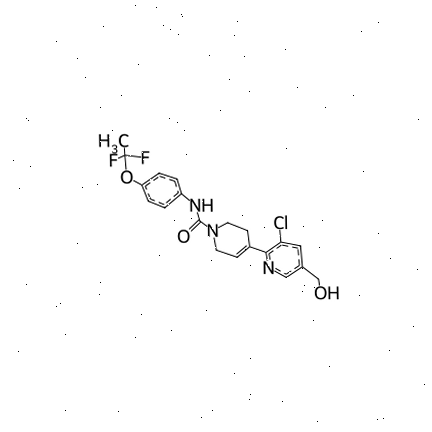 CC(F)(F)Oc1ccc(NC(=O)N2CC=C(c3ncc(CO)cc3Cl)CC2)cc1